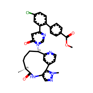 COC(=O)c1ccc(-c2ccc(Cl)cc2-c2cc(=O)n([C@H]3CCC[C@@H](C)C(=O)Nc4cnn(C)c4-c4ccnc3c4)cn2)cc1